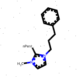 CCCCCc1n(C)cc[n+]1CCCc1ccccc1